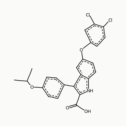 CC(C)Oc1ccc(-c2c(C(=O)O)[nH]c3ccc(Oc4ccc(Cl)c(Cl)c4)cc23)cc1